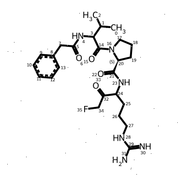 CC(C)C(NC(=O)Cc1ccccc1)C(=O)N1CCC[C@H]1C(=O)NC(CCCNC(=N)N)C(=O)CF